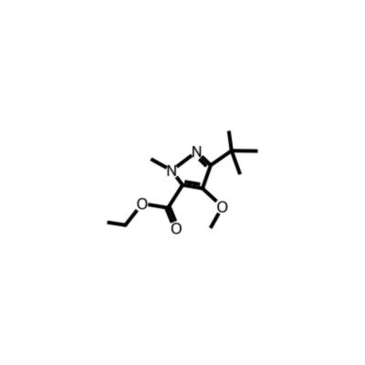 CCOC(=O)c1c(OC)c(C(C)(C)C)nn1C